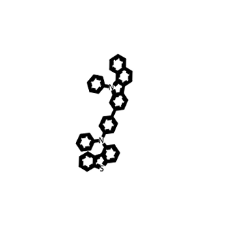 c1ccc(N(c2ccc(-c3ccc4c5ccc6ccccc6c5n(-c5ccccc5)c4c3)cc2)c2cccc3sc4ccccc4c23)cc1